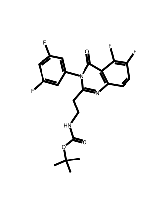 CC(C)(C)OC(=O)NCCc1nc2ccc(F)c(F)c2c(=O)n1-c1cc(F)cc(F)c1